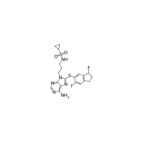 Nc1ncnc2c1nc(Sc1cc3c(cc1I)CCC3F)n2CCCNS(=O)(=O)C1CC1